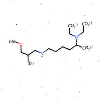 CC(C)(C)OCC(CNCCCCC(C(=O)O)N(CC(=O)O)CC(=O)O)C(C)(C)C